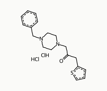 Cl.Cl.O=C(Cc1cccs1)CN1CCN(Cc2ccccc2)CC1